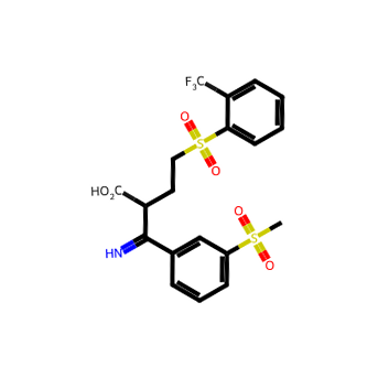 CS(=O)(=O)c1cccc(C(=N)C(CCS(=O)(=O)c2ccccc2C(F)(F)F)C(=O)O)c1